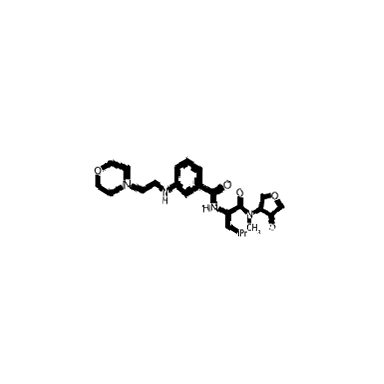 CC(C)CC(NC(=O)c1cccc(NCCN2CCOCC2)c1)C(=O)N(C)C1COCC1=O